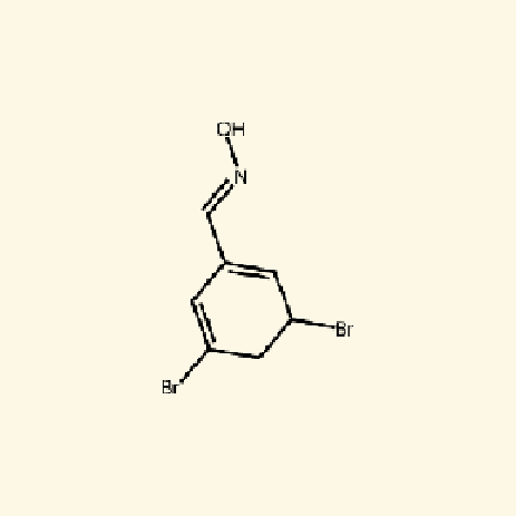 ON=CC1=CC(Br)CC(Br)=C1